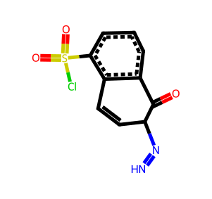 N=NC1C=Cc2c(cccc2S(=O)(=O)Cl)C1=O